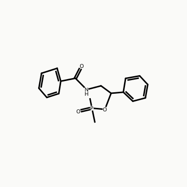 CP(C)(=O)OC(CNC(=O)c1ccccc1)c1ccccc1